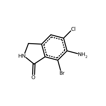 Nc1c(Cl)cc2c(c1Br)C(=O)NC2